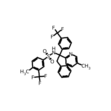 Cc1ccc(C(Cc2ccccc2)(NS(=O)(=O)c2ccc(C)c(C(F)(F)F)c2)c2cccc(C(F)(F)F)c2)nc1